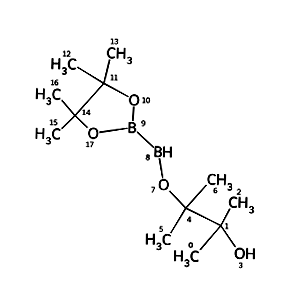 CC(C)(O)C(C)(C)OBB1OC(C)(C)C(C)(C)O1